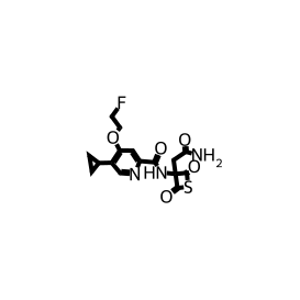 NC(=O)CC1(NC(=O)c2cc(OCCF)c(C3CC3)cn2)C(=O)SC1=O